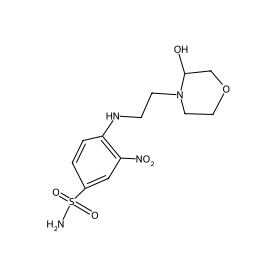 NS(=O)(=O)c1ccc(NCCN2CCOCC2O)c([N+](=O)[O-])c1